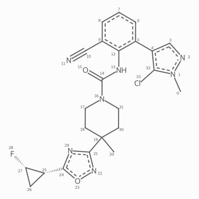 Cn1ncc(-c2cccc(C#N)c2NC(=O)N2CCC(C)(c3noc([C@@H]4C[C@@H]4F)n3)CC2)c1Cl